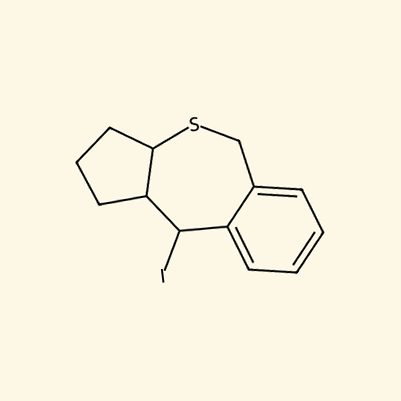 IC1c2ccccc2CSC2CCCC21